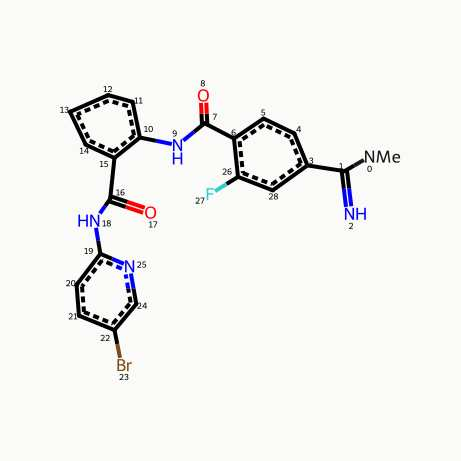 CNC(=N)c1ccc(C(=O)Nc2ccccc2C(=O)Nc2ccc(Br)cn2)c(F)c1